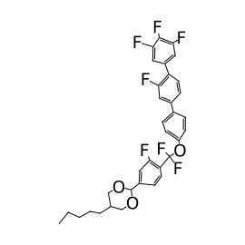 CCCCCC1COC(c2ccc(C(F)(F)Oc3ccc(-c4ccc(-c5cc(F)c(F)c(F)c5)c(F)c4)cc3)c(F)c2)OC1